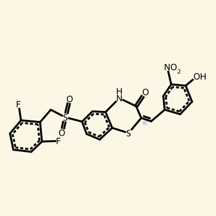 O=C1Nc2cc(S(=O)(=O)Cc3c(F)cccc3F)ccc2S/C1=C/c1ccc(O)c([N+](=O)[O-])c1